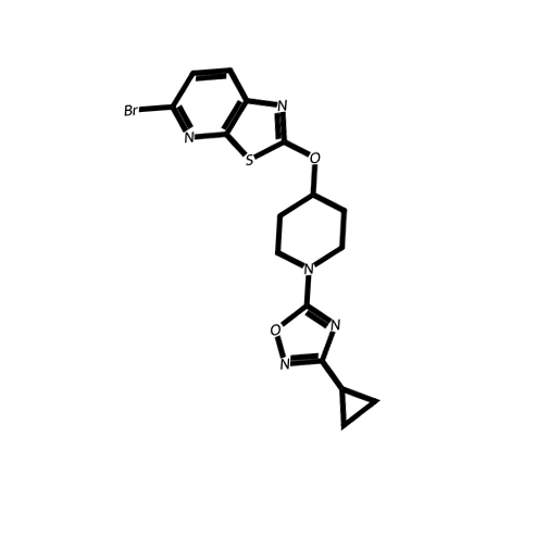 Brc1ccc2nc(OC3CCN(c4nc(C5CC5)no4)CC3)sc2n1